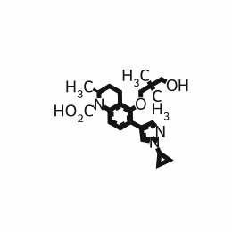 C[C@H]1CCc2c(ccc(-c3cnn(C4CC4)c3)c2OCC(C)(C)CO)N1C(=O)O